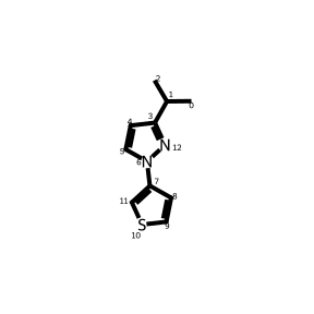 CC(C)c1ccn(-c2ccsc2)n1